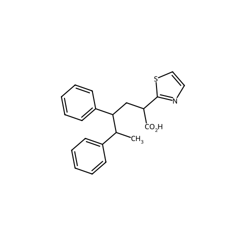 CC(c1ccccc1)C(CC(C(=O)O)c1nccs1)c1ccccc1